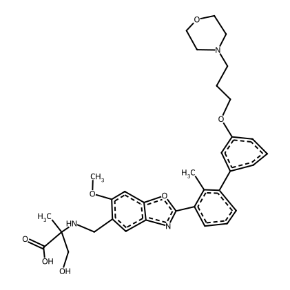 COc1cc2oc(-c3cccc(-c4cccc(OCCCN5CCOCC5)c4)c3C)nc2cc1CNC(C)(CO)C(=O)O